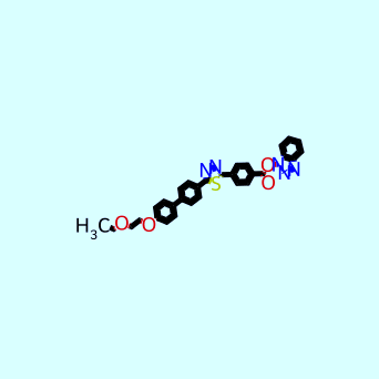 CCOCCOc1ccc(-c2ccc(-c3nnc(-c4ccc(C(=O)On5nnc6ccccc65)cc4)s3)cc2)cc1